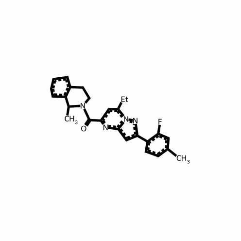 CCc1cc(C(=O)N2CCc3ccccc3C2C)nc2cc(-c3ccc(C)cc3F)nn12